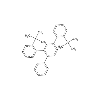 CC(C)(C)c1ccccc1-c1[c]c(-c2ccccc2C(C)(C)C)c(-c2ccccc2)cc1